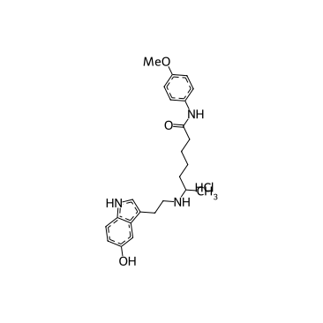 COc1ccc(NC(=O)CCCCC(C)NCCc2c[nH]c3ccc(O)cc23)cc1.Cl